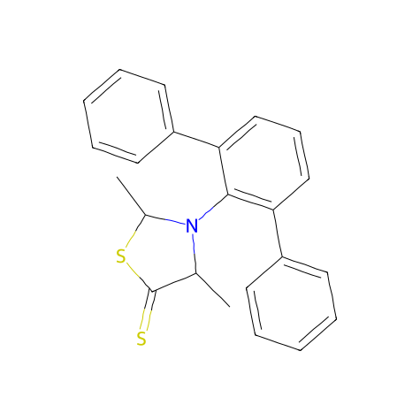 CC1SC(=S)C(C)N1c1c(-c2ccccc2)cccc1-c1ccccc1